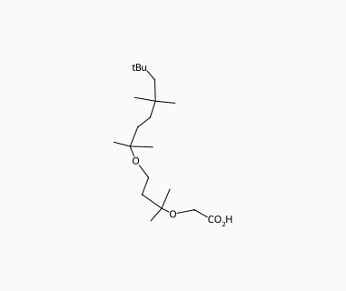 CC(C)(C)CC(C)(C)CCC(C)(C)OCCC(C)(C)OCC(=O)O